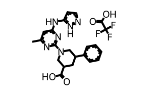 Cc1cc(Nc2ccn[nH]2)nc(N2CC(C(=O)O)CC(c3ccccc3)C2)n1.O=C(O)C(F)(F)F